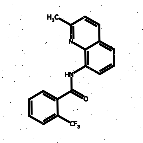 Cc1ccc2cccc(NC(=O)c3ccccc3C(F)(F)F)c2n1